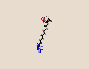 [N-]=[N+]=NCCCCCCCCCC1(N=O)CC1